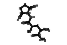 CCC(CC(C)C(N)=O)C(=O)ON1C(=O)CCC1=O